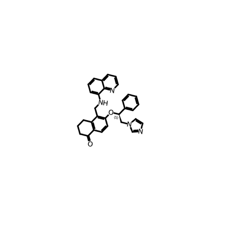 O=C1CCCc2c1ccc(O[C@H](Cn1ccnc1)c1ccccc1)c2CNc1cccc2cccnc12